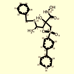 CC(CC(O)(CS(=O)(=O)c1ccc(-c2ccncc2)cc1)C(=O)NO)SCc1ccccc1